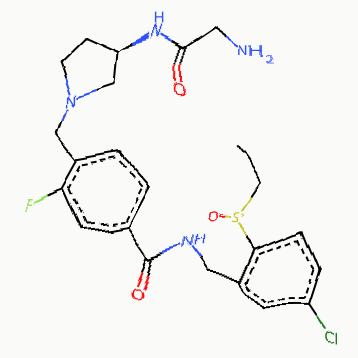 CC[S+]([O-])c1ccc(Cl)cc1CNC(=O)c1ccc(CN2CC[C@@H](NC(=O)CN)C2)c(F)c1